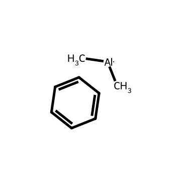 [CH3][Al][CH3].c1ccccc1